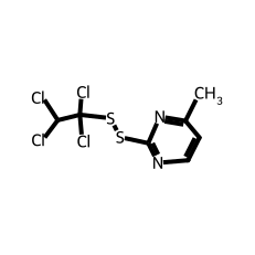 Cc1ccnc(SSC(Cl)(Cl)C(Cl)Cl)n1